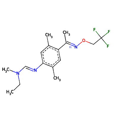 CCN(C)C=Nc1cc(C)c(/C(C)=N/OCC(F)(F)F)cc1C